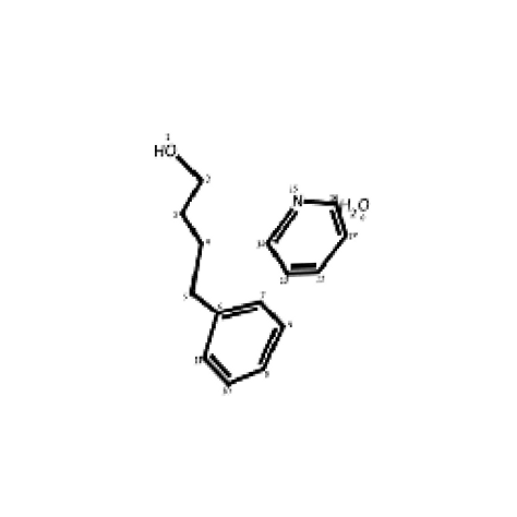 O.OCCCCc1ccccc1.c1ccncc1